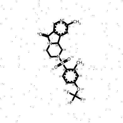 Cc1cc2c(cn1)C(=O)N1CCN(S(=O)(=O)c3ccc(OC(F)(F)F)cc3C)CC21